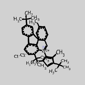 CC1=[C](/[Zr+2](=[CH]/c2ccc(C)cc2)[c]2c(C(C)(C)C)ccc3c2Cc2cc(C(C)(C)C)ccc2-3)C(C)C=C1C(C)(C)C.[Cl-].[Cl-]